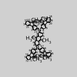 Cc1c2ccc(N(c3ccc4c(c3)C(C)(C)c3ccccc3-4)c3ccc4c(c3)C(C)(C)c3ccccc3-4)cc2c(C)c2ccc(N(C3=CCC4C(=C3)C(C)(C)c3ccccc34)c3ccc4c(c3)C(C)(C)c3ccccc3-4)cc12